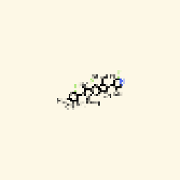 N#CC(C#N)=C1C(c2cc(C#N)c(C#N)cc2F)=C(C#N)c2c1cc1c(c2F)C(=C(C#N)C#N)C(c2cc(F)ncc2C#N)=C1C#N